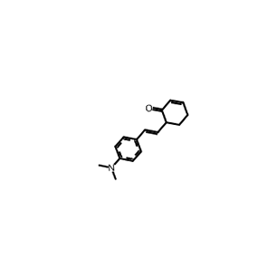 CN(C)c1ccc(/C=C/C2CCC=CC2=O)cc1